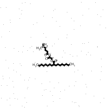 CCCCCCCCC(CCCCCCCC)C(=O)OCC(Cl)OC(=O)CCCN(C)C